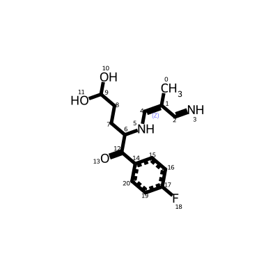 C/C(C=N)=C/NC(CCC(O)O)C(=O)c1ccc(F)cc1